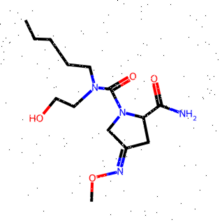 CCCCCN(CCO)C(=O)N1CC(=NOC)CC1C(N)=O